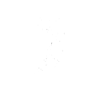 Cc1cn([C@H]2O[C@@H](COP(=O)(O)OP(=O)(O)OP(=O)(O)O)C(O)[C@H]2C#N)c(=S)[nH]c1=O